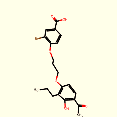 CCCc1c(OCCCOc2ccc(C(=O)O)cc2Br)ccc(C(C)=O)c1O